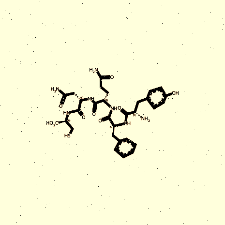 NC(=O)CC[C@H](NC(=O)[C@H](Cc1ccccc1)NC(=O)[C@@H](N)Cc1ccc(O)cc1)C(=O)N[C@@H](CC(N)=O)C(=O)N[C@@H](CS)C(=O)O